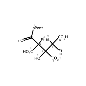 CCCCCC(=O)C(CC)(C(=O)O)C(O)(C(=O)O)C(CC)(CC)C(=O)O